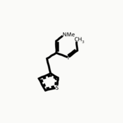 C/C=I\C(=C/NC)Cc1ccsc1